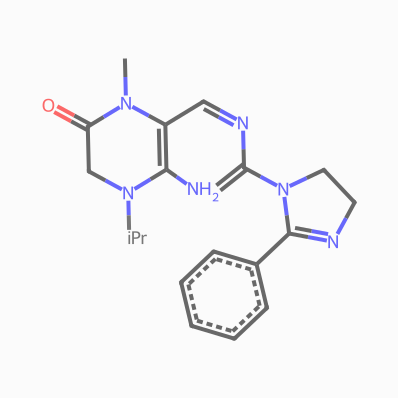 C=C(/N=C\C1=C(N)N(C(C)C)CC(=O)N1C)N1CCN=C1c1ccccc1